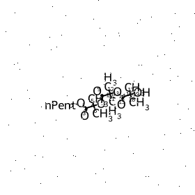 CCCCCOC(=O)C(C)(C)OC(=O)C(C)(C)OC(=O)C(C)(C)O